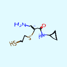 N/C=C(\SCCS)C(=O)NC1CC1